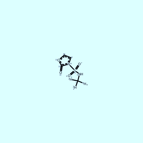 [2H]C([2H])([2H])NS(=O)(=O)n1ccoc1=O